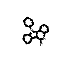 Clc1nc2ccccc2c2c1c1ccccc1n2-c1ccccc1